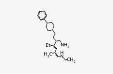 C=CN/C=C(C)\C=C(/CC)C(CN)CCC1CCC(c2ccccc2)CC1